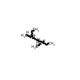 CC/C=C\CCC(=O)N(CCCCNCCCN(CCCNC)C(=O)CC/C=C\CC)CCCNC